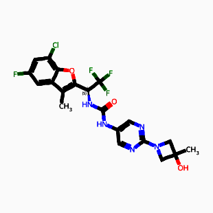 Cc1c([C@H](NC(=O)Nc2cnc(N3CC(C)(O)C3)nc2)C(F)(F)F)oc2c(Cl)cc(F)cc12